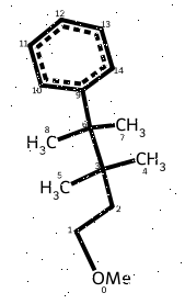 COCCC(C)(C)C(C)(C)c1ccccc1